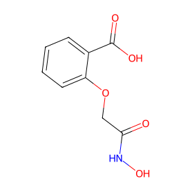 O=C(COc1ccccc1C(=O)O)NO